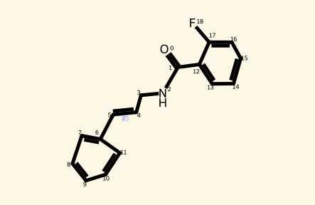 O=C(NC/C=C/c1ccccc1)c1ccccc1F